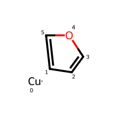 [Cu].c1ccoc1